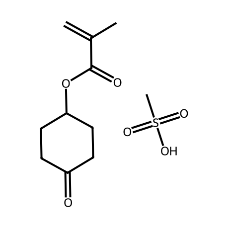 C=C(C)C(=O)OC1CCC(=O)CC1.CS(=O)(=O)O